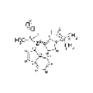 C[CH]1[CH2][Zr+2]1([C]1=CC([Si](C)(C)C)=CC1)[CH]1C=Cc2ccccc21.[Cl-].[Cl-]